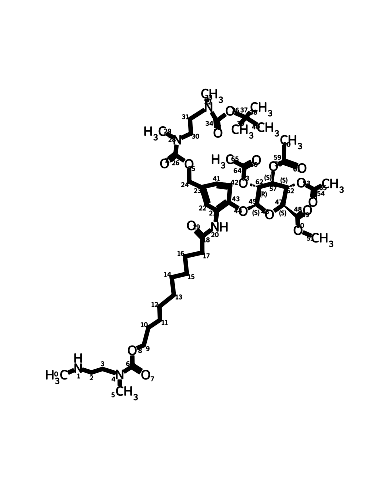 CNCCN(C)C(=O)OCCCCCCCCCC(=O)Nc1cc(COC(=O)N(C)CCN(C)C(=O)OC(C)(C)C)ccc1O[C@@H]1O[C@H](C(=O)OC)[C@@H](OC(C)=O)[C@H](OC(C)=O)[C@H]1OC(C)=O